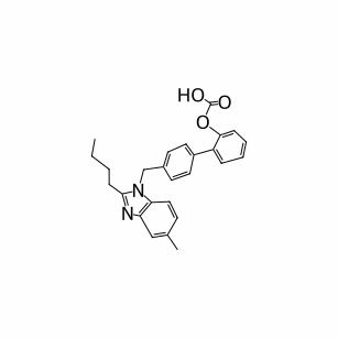 CCCCc1nc2cc(C)ccc2n1Cc1ccc(-c2ccccc2OC(=O)O)cc1